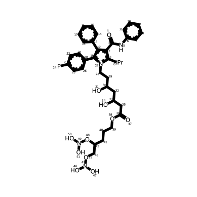 CC(C)c1c(C(=O)Nc2ccccc2)c(-c2ccccc2)c(-c2ccc(F)cc2)n1CCC(O)CC(O)CC(=O)OCCCC(CON(O)O)ON(O)O